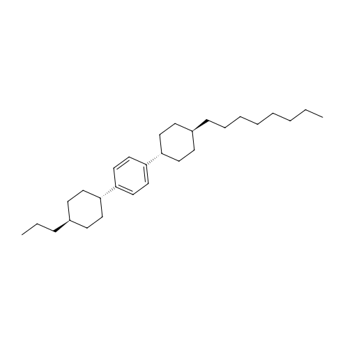 CCCCCCCC[C@H]1CC[C@H](c2ccc([C@H]3CC[C@H](CCC)CC3)cc2)CC1